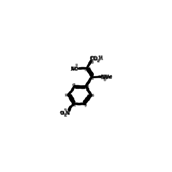 CN/C(=C(/C#N)C(=O)O)c1ccc([N+](=O)[O-])cc1